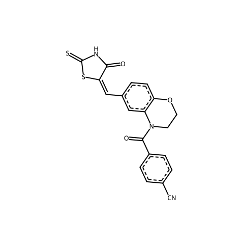 N#Cc1ccc(C(=O)N2CCOc3ccc(C=C4SC(=S)NC4=O)cc32)cc1